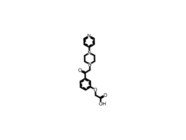 O=C(O)COc1cccc(C(=O)CN2CCN(c3ccncc3)CC2)c1